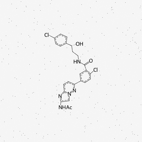 CC(=O)Nc1cn2nc(-c3ccc(Cl)c(C(=O)NCC[C@@H](O)c4ccc(Cl)cc4)c3)ccc2n1